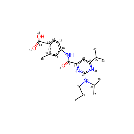 CCCN(c1nc(C(=O)Nc2ccc(C(=O)O)c(C)c2)cc(C(C)C)n1)C(C)C